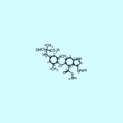 CCCCCc1n[nH]c2ccc(Oc3c(C)cc(NC(C)(C=O)C(=O)O)cc3C)c(C(=O)OC(C)(C)C)c12